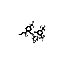 CCCC(=O)c1ccc(C(F)(F)F)cc1CN(Cc1cc(C(F)(F)F)cc(C(F)(F)F)c1)c1nnn(C)n1